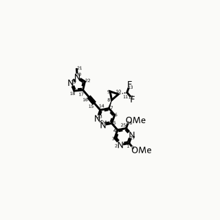 COc1ncc(-c2cc([C@H]3C[C@@H]3C(F)F)c(C#Cc3cnn(C)c3)nn2)c(OC)n1